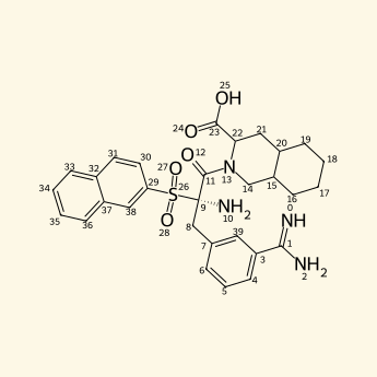 N=C(N)c1cccc(C[C@](N)(C(=O)N2CC3CCCCC3CC2C(=O)O)S(=O)(=O)c2ccc3ccccc3c2)c1